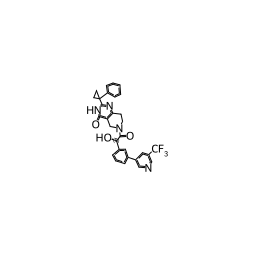 O=C([C@H](O)c1cccc(-c2cncc(C(F)(F)F)c2)c1)N1CCc2nc(C3(c4ccccc4)CC3)[nH]c(=O)c2C1